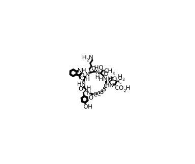 C[C@@H](O)[C@H](NC(=O)[C@@H]1CSSCCC(=O)N[C@@H](Cc2ccc(O)cc2)C(=O)N[C@H](Cc2c[nH]c3ccccc23)C(=O)N[C@@H](CCCCN)C(=O)N[C@@H]([C@@H](C)O)C(=O)N1)C(=O)O